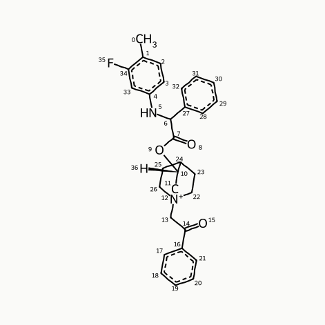 Cc1ccc(NC(C(=O)O[C@H]2C[N+]3(CC(=O)c4ccccc4)CCC2CC3)c2ccccc2)cc1F